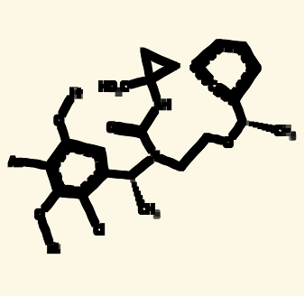 CCOc1cc([C@@H](C)N(CCO[C@@H](C)c2ccccc2)C(=O)NC2(C(=O)O)CC2)c(Cl)c(OCC)c1C(C)=O